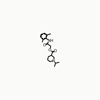 Cc1cccc(C)c1NC(=O)COC(=O)C1CCCN(C(C)C)C1